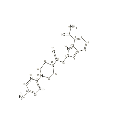 NC(=O)c1cccc2cn(CC(=O)N3CCN(c4ncc(C(F)(F)F)cn4)CC3)nc12